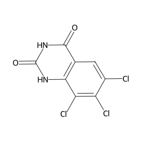 O=c1[nH]c(=O)c2cc(Cl)c(Cl)c(Cl)c2[nH]1